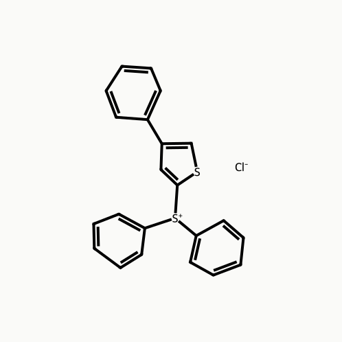 [Cl-].c1ccc(-c2csc([S+](c3ccccc3)c3ccccc3)c2)cc1